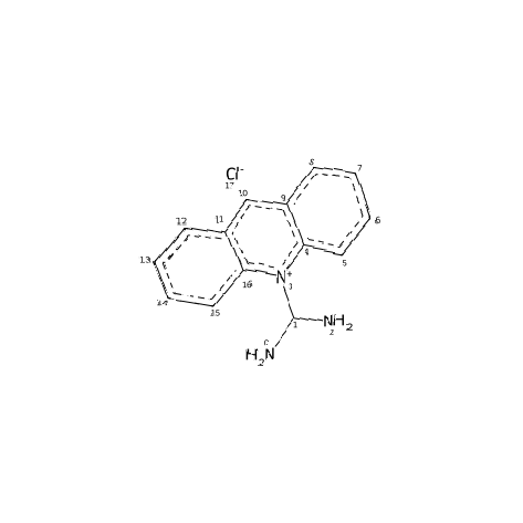 NC(N)[n+]1c2ccccc2cc2ccccc21.[Cl-]